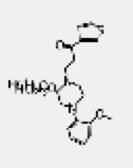 COc1ccccc1N1CCN(CCC(=O)c2ccsc2)CC1.Cl.Cl.O.O